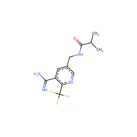 CC(C)C(=O)NCc1cnc(C(F)(F)F)c(C(=N)N)c1